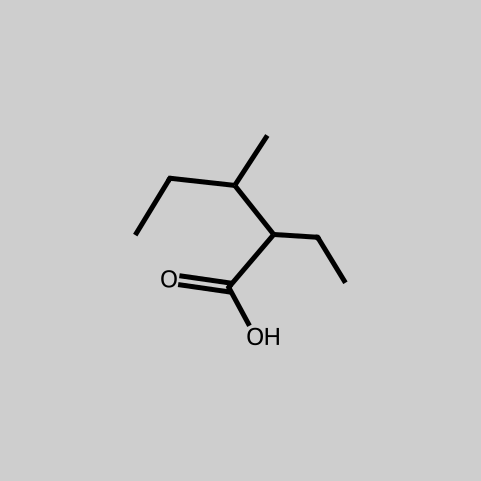 CCC(C)C(CC)C(=O)O